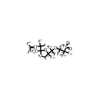 CC1([C](F)(F)[Cf]=[C](F)F)OCC(F)(C(F)(F)OC(F)(F)C(F)(F)S(=O)(=O)F)O1